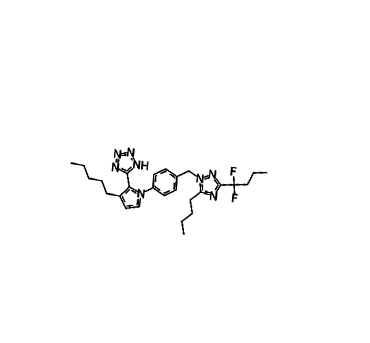 CCCCCc1ccn(-c2ccc(Cn3nc(C(F)(F)CCC)nc3CCCC)cc2)c1-c1nnn[nH]1